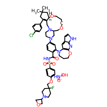 CC1(C)CC(c2ccc(Cl)cc2)=C2CN3CCN(c4ccc(C(=O)NS(=O)(=O)c5ccc(OCC6(F)CCN(C7COC7)CC6)c([NH+]([O-])O)c5)c(N5CCCOc6nc7[nH]ccc7cc65)c4)CC3COCCCO[C@@H]2C1